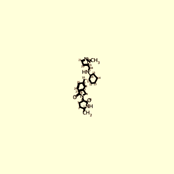 C=C1CCC(N2Cc3cc(C[C@H]4CCCC[C@@H]4NCc4ccnn4C)ccc3C2=O)C(=O)N1